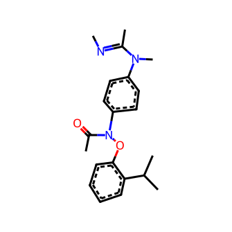 CN=C(C)N(C)c1ccc(N(Oc2ccccc2C(C)C)C(C)=O)cc1